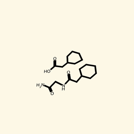 NC(=O)CNC(=O)CC1CCCCC1.O=C(O)CC1CCCCC1